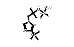 CC(C)(Cn1cn[c]([Sn]([CH3])([CH3])[CH3])c1)O[Si](C)(C)C(C)(C)C